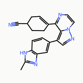 Cc1nc2cc(-c3cnn4ccnc(C5=CCC(C#N)CC5)c34)ccc2[nH]1